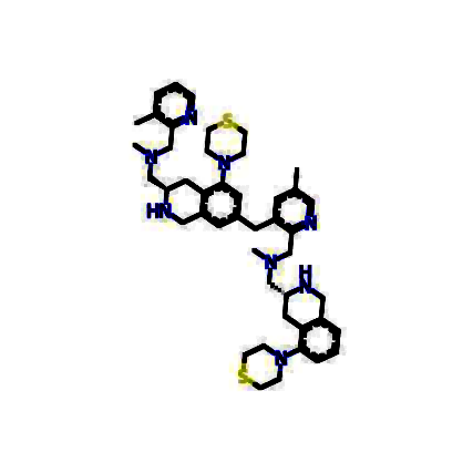 Cc1cnc(CN(C)C[C@H]2Cc3c(cccc3N3CCSCC3)CN2)c(Cc2cc3c(c(N4CCSCC4)c2)C[C@H](CN(C)Cc2ncccc2C)NC3)c1